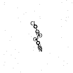 CN1CCN(c2ccc(C(=O)CCC(=O)N3CCC(c4ccc(Cl)cc4)CC3)cc2)CC1